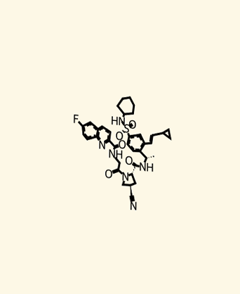 C[C@H](NC(=O)[C@@H]1C[C@@H](C#N)CN1C(=O)CNC(=O)c1ccc2cc(F)ccc2n1)c1ccc(S(=O)(=O)NC2CCCCC2)cc1/C=C/C1CC1